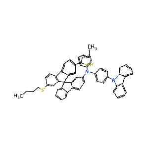 CCCCSc1ccc2c(c1)C1(c3ccccc3-c3ccc(N(c4ccccc4)c4ccc(-n5c6ccccc6c6ccccc65)cc4)cc31)c1cc(C(S)CCC)ccc1-2